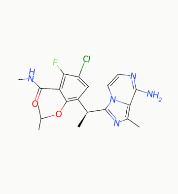 CNC(=O)c1c(F)c(Cl)cc([C@H](C)c2nc(C)c3c(N)nccn23)c1OC(C)C